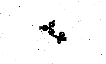 Cc1ccc(C(c2ccc(F)cc2)N2CCN(CCCn3c(=O)[nH]c4ccccc43)CC2)cc1